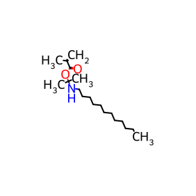 C=C(C)C(=O)OC(C)(C)NCCCCCCCCCCCC